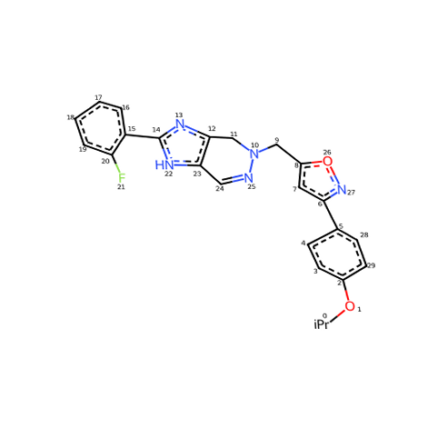 CC(C)Oc1ccc(-c2cc(CN3Cc4nc(-c5ccccc5F)[nH]c4C=N3)on2)cc1